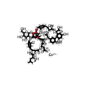 CNC(CC(C)C)C(=O)NC1C(=O)NC(CC(N)=O)C(=O)NC2C(=O)NC3C(=O)NC(C(=O)NC(C(=O)O)c4cc(O)cc(O)c4-c4cc3ccc4O)C(O)c3ccc(c(Cl)c3)Oc3cc2cc(c3OC2OC(CO)C(O)C(O)C2OC2CC(C)(N)C(O)C(C)O2)Oc2ccc(cc2Cl)C1O.[Cu+2]